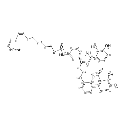 CCCCC/C=C\C/C=C\CCCCCCCC(=O)Nc1ccc(NC(=O)c2cccc(O)c2O)c(OCCOc2ccccc2OC(=O)c2cccc(O)c2O)c1